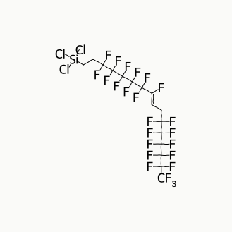 FC(=CCC(F)(F)C(F)(F)C(F)(F)C(F)(F)C(F)(F)C(F)(F)F)C(F)(F)C(F)(F)C(F)(F)C(F)(F)C(F)(F)CC[Si](Cl)(Cl)Cl